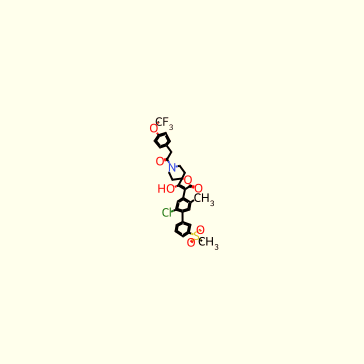 Cc1cc(-c2cccc(S(C)(=O)=O)c2)c(Cl)cc1C1=C(O)C2(CCN(C(=O)Cc3ccc(OC(F)(F)F)cc3)CC2)OC1=O